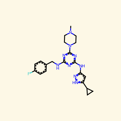 CN1CCN(c2nc(NCc3ccc(F)cc3)nc(Nc3cc(C4CC4)[nH]n3)n2)CC1